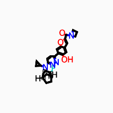 O=C(c1cc2cc(O)c(-c3ccc(N(C4CC4)[C@@H]4C[C@H]5CC[C@H](C5)[C@@H]4F)nn3)cc2o1)N1CCC1